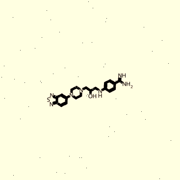 N=C(N)c1ccc(NCC(O)CN2CCN(c3ccc4nsnc4c3)CC2)cc1